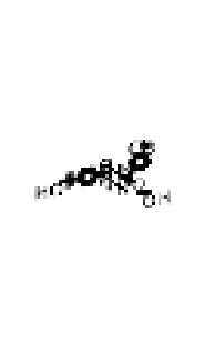 Cn1nc(OCCO)c(-c2ccc3c(c2)OCO3)c1NS(=O)(=O)c1ccc(C(C)(C)CO)cc1